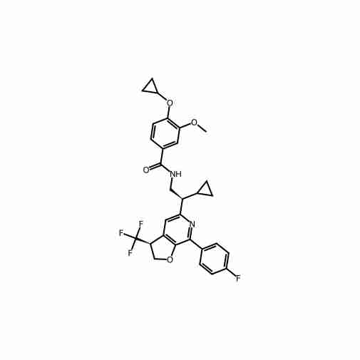 COc1cc(C(=O)NC[C@H](c2cc3c(c(-c4ccc(F)cc4)n2)OC[C@H]3C(F)(F)F)C2CC2)ccc1OC1CC1